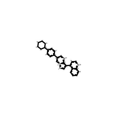 c1ccc2c(-c3cnn4cc(-c5ccc(C6CCCCC6)cc5)cnc34)ccnc2c1